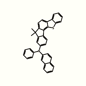 CC1(C)c2cc(N(c3ccccc3)c3ccc4ccccc4c3)ccc2-c2c1ccc1c2sc2ccccc21